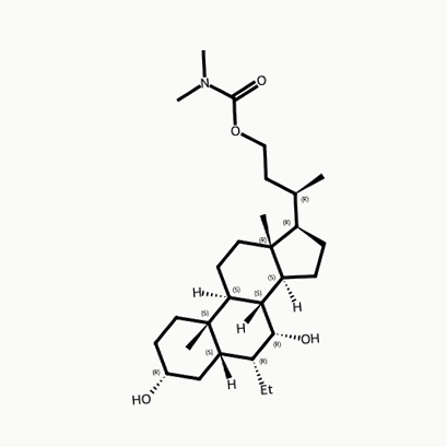 CC[C@H]1[C@@H](O)[C@@H]2[C@H](CC[C@]3(C)[C@@H]([C@H](C)CCOC(=O)N(C)C)CC[C@@H]23)[C@@]2(C)CC[C@@H](O)C[C@@H]12